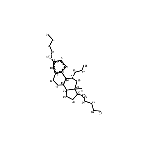 CCCCOc1ccc2c(c1)CCC1C2[C@@H](CCC)CC2(C)C(OCCCC)CCC12